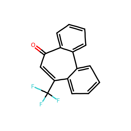 O=c1cc(C(F)(F)F)c2ccccc2c2ccccc12